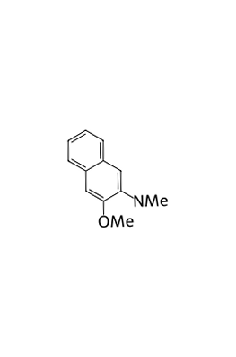 CNc1cc2ccccc2cc1OC